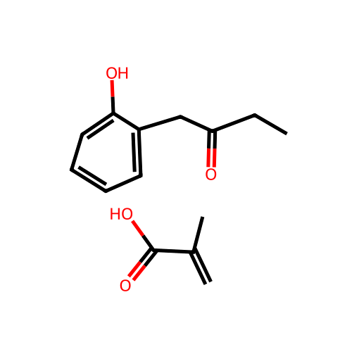 C=C(C)C(=O)O.CCC(=O)Cc1ccccc1O